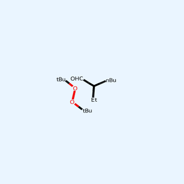 CC(C)(C)OOC(C)(C)C.CCCCC(C=O)CC